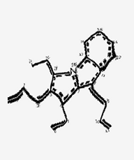 C=C/C=c1/c(C=C)c2/c(=C\C=C)c3ccccc3n2/c1=C/C